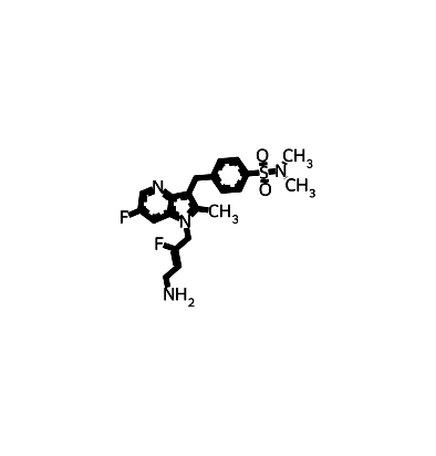 Cc1c(Cc2ccc(S(=O)(=O)N(C)C)cc2)c2ncc(F)cc2n1CC(F)=CCN